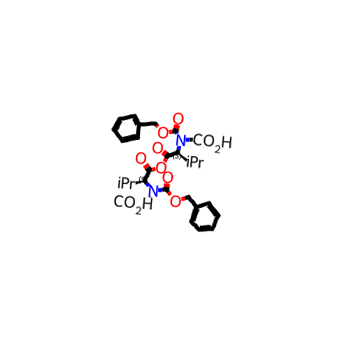 CC(C)[C@@H](C(=O)OC(=O)[C@H](C(C)C)N(C(=O)O)C(=O)OCc1ccccc1)N(C(=O)O)C(=O)OCc1ccccc1